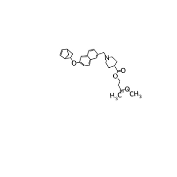 CO[C@H](C)CCOC(=O)C1CCN(Cc2ccc3cc(OC4CC5C=CC4C5)ccc3c2)CC1